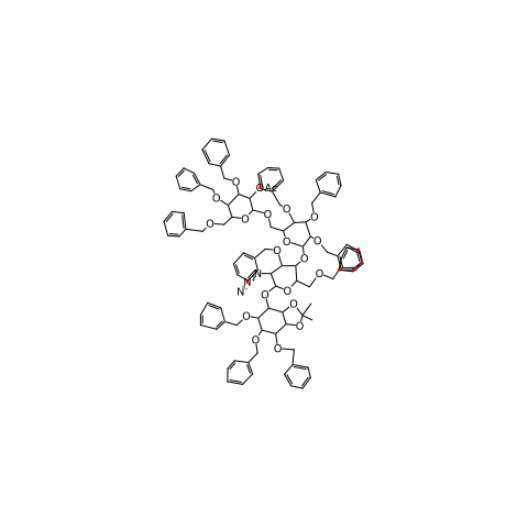 CC(=O)OC1C(OCC2OC(OC3C(COCc4ccccc4)OC(OC4C(OCc5ccccc5)C(OCc5ccccc5)C(OCc5ccccc5)C5OC(C)(C)OC45)C(N=[N+]=[N-])C3OCc3ccccc3)C(OCc3ccccc3)C(OCc3ccccc3)C2OCc2ccccc2)OC(COCc2ccccc2)C(OCc2ccccc2)C1OCc1ccccc1